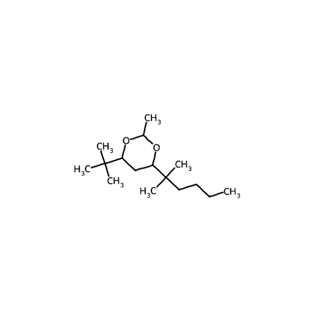 CCCCC(C)(C)C1CC(C(C)(C)C)OC(C)O1